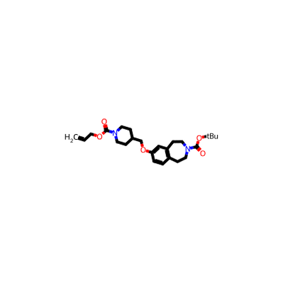 C=CCOC(=O)N1CCC(COc2ccc3c(c2)CCN(C(=O)OC(C)(C)C)CC3)CC1